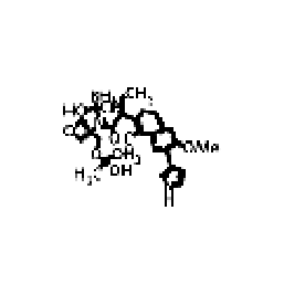 BC(O)(O)N(C(=O)/C(=N/C)C1=C(C)c2cc(-c3cc[nH]c3)c(OC)cc2CC1)C1(COC(C)(O)O)COC1